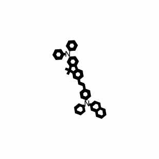 CC1(C)c2cc(/C=C/c3ccc(N(C4=CCC5C=CC=CC5=C4)C4C=CC=CC4)cc3)ccc2-c2ccc(N(c3ccccc3)c3ccccc3)cc21